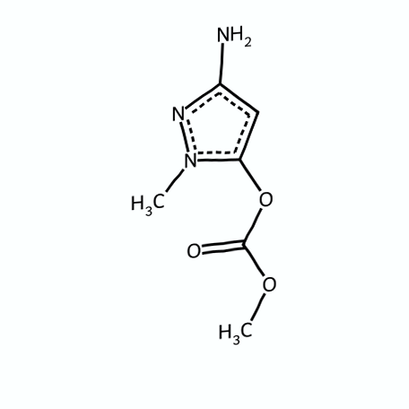 COC(=O)Oc1cc(N)nn1C